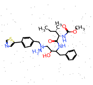 CC[C@H](C)[C@H](NC(=O)OC)C(=O)NC(Cc1ccccc1)C(O)CN(N)Cc1ccc(-c2cncs2)cc1